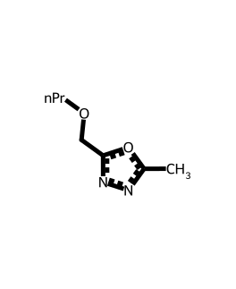 CCCOCc1nnc(C)o1